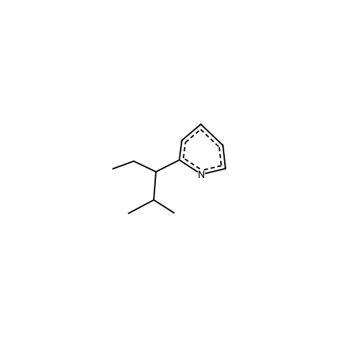 CCC(c1ccccn1)C(C)C